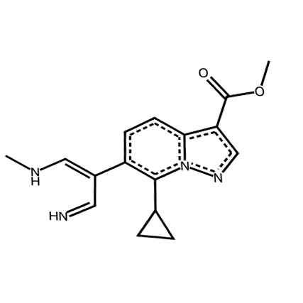 CN/C=C(\C=N)c1ccc2c(C(=O)OC)cnn2c1C1CC1